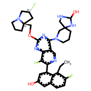 CCc1c(F)ccc2cc(O)cc(-c3ncc4c(N5CCCC6(CNC(O)N6)C5)nc(OC[C@@]56CCCN5C[C@H](F)C6)nc4c3F)c12